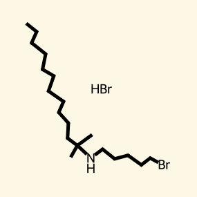 Br.CCCCCCCCCCCC(C)(C)NCCCCCBr